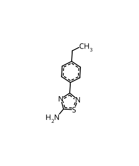 CCc1ccc(-c2nsc(N)n2)cc1